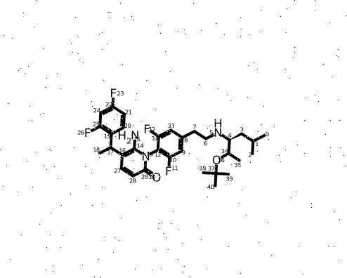 CC(C)C[C@H](NCCc1cc(F)c(-n2c(N)c(C(C)c3ccc(F)cc3F)ccc2=O)c(F)c1)C(C)OC(C)(C)C